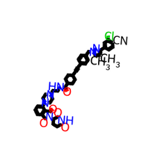 Cc1c(-c2ccc(C#N)c(Cl)c2)nn(Cc2ccc(C#CC3CCC(C(=O)NCCN4CCN(c5cccc6c5C(=O)N(C5CCC(=O)NC5=O)C6=O)CC4)CC3)cc2)c1C